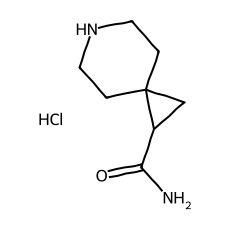 Cl.NC(=O)C1CC12CCNCC2